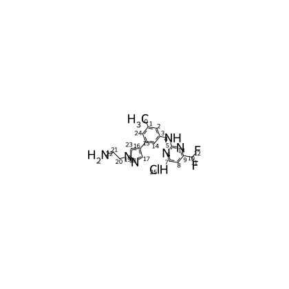 Cc1cc(Nc2nccc(C(F)F)n2)cc(-c2cnn(CCN)c2)c1.Cl